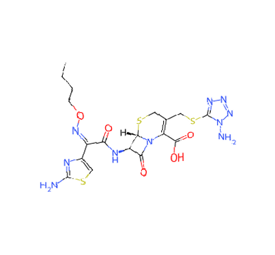 CCCCO/N=C(\C(=O)N[C@@H]1C(=O)N2C(C(=O)O)=C(CSc3nnnn3N)CS[C@@H]12)c1csc(N)n1